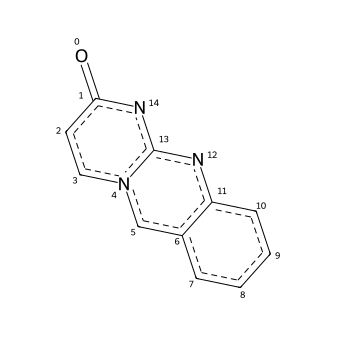 O=c1ccn2cc3ccccc3nc2n1